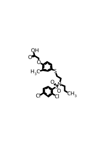 CCCN(CCSc1ccc(OCC(=O)O)c(C)c1)S(=O)(=O)c1ccc(Cl)cc1Cl